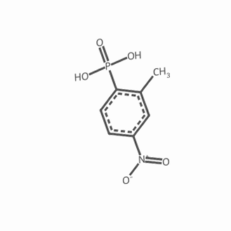 Cc1cc([N+](=O)[O-])ccc1P(=O)(O)O